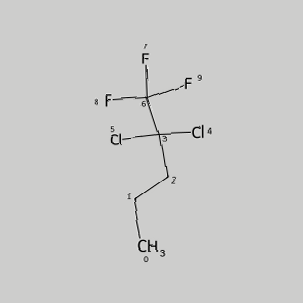 CCCC(Cl)(Cl)C(F)(F)F